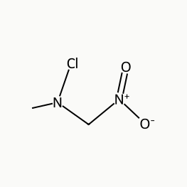 CN(Cl)C[N+](=O)[O-]